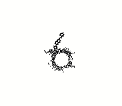 CC(C)[C@@H]1NC(=O)[C@@H](C(C)N)NC(=O)CNC(=O)C(CC(=O)O)NC(=O)CNC(=O)[C@H](CC(=O)O)NC(=O)[C@H](C(C)C(=O)O)NC(=O)[C@H]2CCCCN2C(=O)C(NC(=O)[C@H](CC(N)=O)NC(=O)c2ccc(-c3ccc4cc(CCc5ccccc5)ccc4c3)cc2)[C@@H](C)NC(=O)[C@@H]2CCCN2C1=O